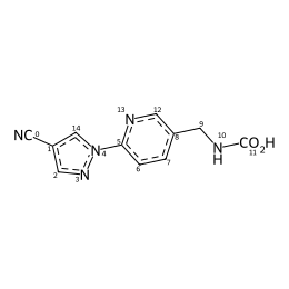 N#Cc1cnn(-c2ccc(CNC(=O)O)cn2)c1